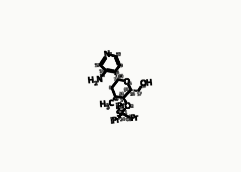 CC(C)[Si](O[C@H]1[C@H](C)C[C@H](c2ccncc2N)O[C@@H]1CO)(C(C)C)C(C)C